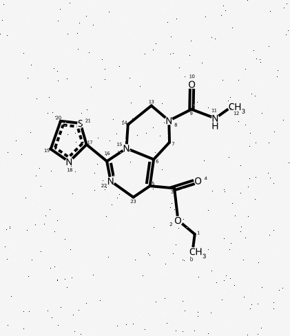 CCOC(=O)C1=C2CN(C(=O)NC)CCN2C(c2nccs2)=NC1